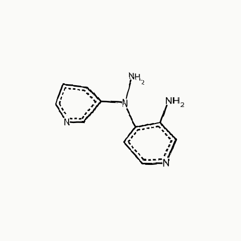 Nc1cnccc1N(N)c1cccnc1